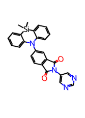 C[Si]1(C)c2ccccc2N(c2ccc3c(c2)C(=O)N(c2cncnc2)C3=O)c2ccccc21